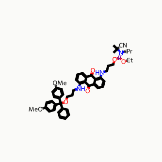 CCOP(OCCCNc1cccc2c1C(=O)c1cccc(NCCCOC(c3ccccc3)(c3ccc(OC)cc3)c3ccc(OC)cc3)c1C2=O)N(C(C)C)C(C)(C)C#N